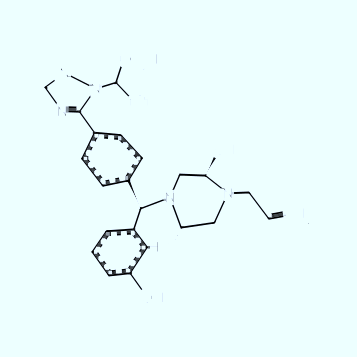 C=CCN1C[C@H](C)N([C@H](c2ccc(C3=NCNN3C(CCC)C(=O)O)cc2)c2cccc(O)c2)C[C@H]1C